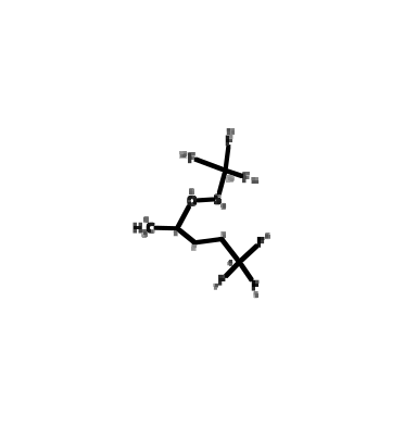 CC(CCC(F)(F)F)OSC(F)(F)F